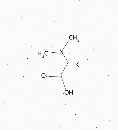 CN(C)CC(=O)O.[K]